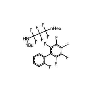 CCCCCCC(F)(F)C(F)(F)C(F)(F)NCCCC.Fc1ccccc1-c1c(F)c(F)c(F)c(F)c1F